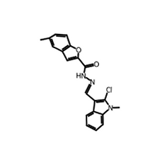 Cc1ccc2oc(C(=O)NN=Cc3c(Cl)n(C)c4ccccc34)cc2c1